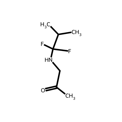 CC(=O)CNC(F)(F)C(C)C